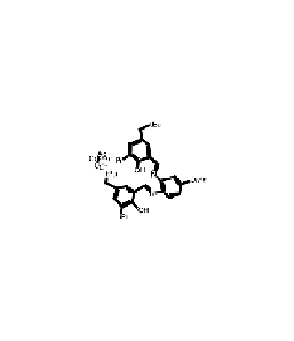 CC(=O)[O-].CC(=O)[O-].COc1ccc(N=Cc2cc(CC(C)(C)C)cc(C(C)C)c2O)c(N=Cc2cc(CC(C)(C)C)cc(C(C)C)c2O)c1.[Co+2]